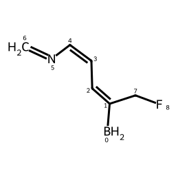 B/C(=C/C=C\N=C)CF